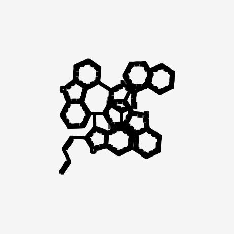 C=C/C=C\c1oc2cccc(-c3nc(-c4ccccc4)nc(-c4cccc5oc6cccc(-c7nc(-c8ccccc8)c8sc9ccccc9c8n7)c6c45)n3)c2c1C